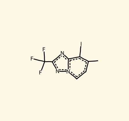 Cc1ccn2nc(C(F)(F)F)nc2c1I